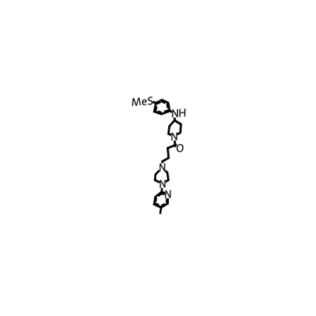 CSc1ccc(NC2CCN(C(=O)CCCN3CCN(c4ccc(C)cn4)CC3)CC2)cc1